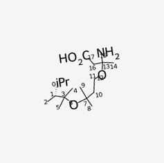 CC(C)[C@@H](C)C(C)(C)OC(C)(C)CCOC(C)(N)CC(=O)O